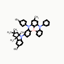 Cc1cc2c3c(c1)N(c1ccc(C(C)(C)C)cc1)c1cc(N4c5ccc(C(C)(C)C)cc5C5(C)CC(C)(C)CC45C)ccc1B3c1ccccc1N2c1ccccc1